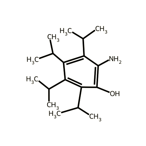 CC(C)c1c(N)c(O)c(C(C)C)c(C(C)C)c1C(C)C